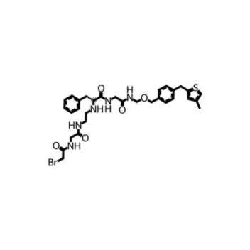 Cc1csc(Cc2ccc(COCNC(=O)CNC(=O)[C@H](Cc3ccccc3)NCCNC(=O)CNC(=O)CBr)cc2)c1